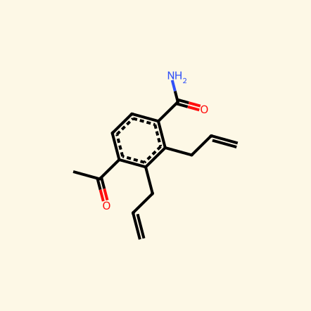 C=CCc1c(C(C)=O)ccc(C(N)=O)c1CC=C